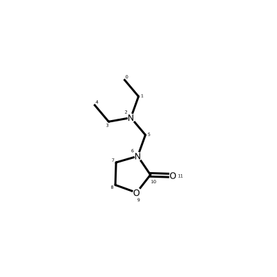 CCN(CC)CN1CCOC1=O